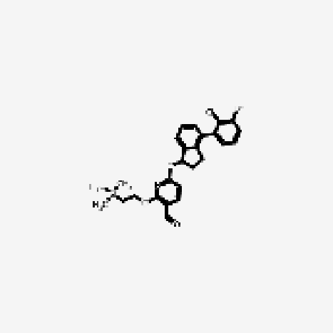 C[Si](C)(C)CCOc1nc(OC2CCc3c(-c4cccc(Br)c4Cl)cccc32)ccc1C=O